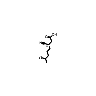 CC(Cl)CCC[C@@H](C#N)CC(=O)O